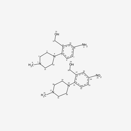 CN1CCN(c2ccc(N)cc2CO)CC1.CN1CCN(c2ccc([N+](=O)[O-])cc2CO)CC1